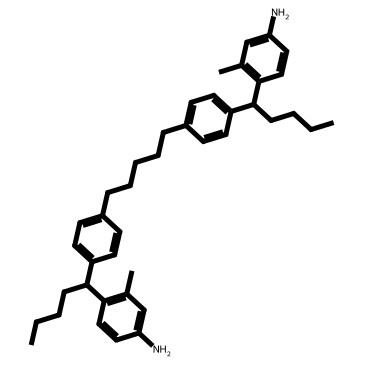 CCCCC(c1ccc(CCCCCc2ccc(C(CCCC)c3ccc(N)cc3C)cc2)cc1)c1ccc(N)cc1C